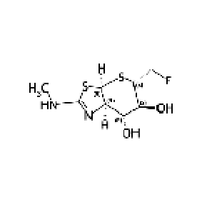 CNC1=N[C@H]2[C@@H](S1)S[C@H](CF)[C@@H](O)[C@@H]2O